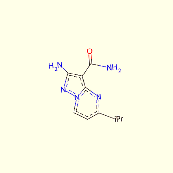 CC(C)c1ccn2nc(N)c(C(N)=O)c2n1